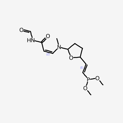 COP(/C=C/C1CCC(N(C)/C=C\C(=O)NC=O)O1)OC